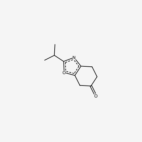 CC(C)c1nc2c(o1)CC(=O)CC2